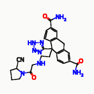 N#CC1CCCN1C(=O)CNCCC1(c2nn[nH]n2)c2ccc(C(N)=O)cc2Cc2cc(C(N)=O)ccc21